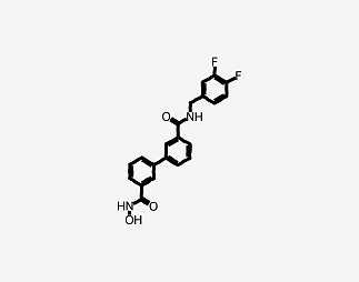 O=C(NO)c1cccc(-c2cccc(C(=O)NCc3ccc(F)c(F)c3)c2)c1